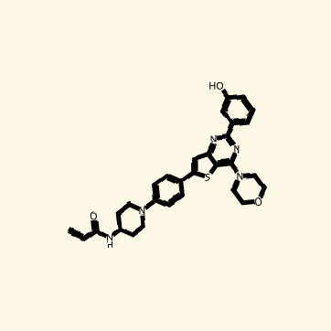 C=CC(=O)NC1CCN(c2ccc(-c3cc4nc(-c5cccc(O)c5)nc(N5CCOCC5)c4s3)cc2)CC1